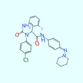 NC(=O)N(c1ccc(Cl)cc1)C(C(=O)NC1C=CC(=NN2CCCCC2)C=C1)c1ccccc1F